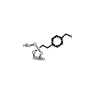 CCCCO[Si](CCc1ccc(CI)cc1)(OCCCC)OCCCC